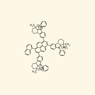 CC1(C)CCCC2c3cc(-c4cc(-c5ccc6c(c5)C5CCCC(C)(C)C5(C)N6c5ccccc5)c5ccc6c(-c7cccc8ccccc78)cc(-c7ccc8c(c7)C7CCCC(C)(C)C7(C)N8c7ccccc7)c7ccc4c5c76)ccc3N(c3ccccc3)C21C